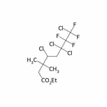 CCOC(=O)CC(C)(C)C(Cl)CC(Cl)(Cl)C(F)(F)C(F)(F)Cl